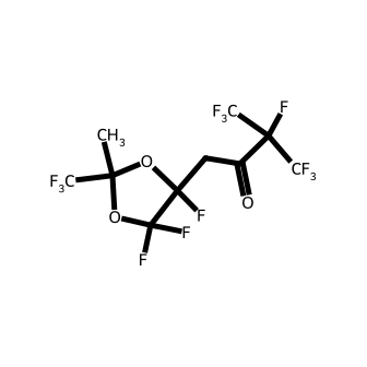 CC1(C(F)(F)F)OC(F)(F)C(F)(CC(=O)C(F)(C(F)(F)F)C(F)(F)F)O1